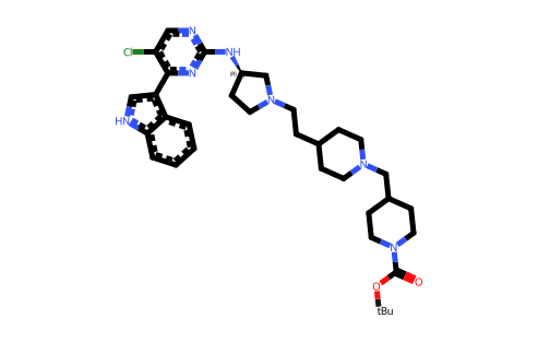 CC(C)(C)OC(=O)N1CCC(CN2CCC(CCN3CC[C@@H](Nc4ncc(Cl)c(-c5c[nH]c6ccccc56)n4)C3)CC2)CC1